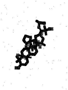 CC(=O)O[C@@H]([C@H]1C[C@@H](C)[C@H]2[C@H](O1)C1(SCCS1)[C@@]1(C)[C@@H]3CC[C@H]4C(C)(C)C(O)CC[C@]4(C)C3=CC[C@]21C)C(C)(C)O